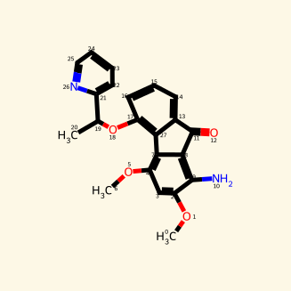 COc1cc(OC)c2c(c1N)C(=O)c1cccc(OC(C)c3ccccn3)c1-2